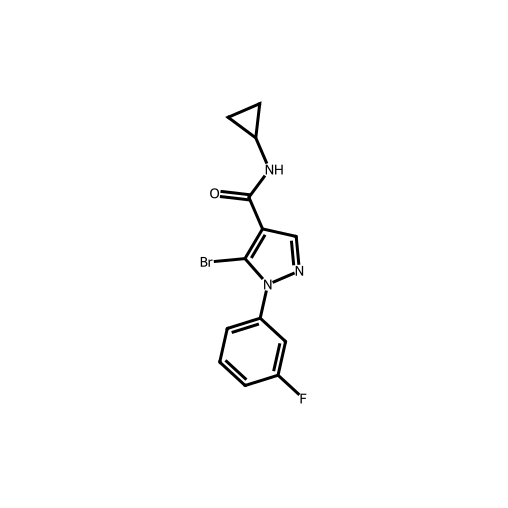 O=C(NC1CC1)c1cnn(-c2cccc(F)c2)c1Br